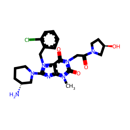 Cn1c(=O)n(CC(=O)N2CC[C@@H](O)C2)c(=O)c2c1nc(N1CCC[C@@H](N)C1)n2Cc1ccccc1Cl